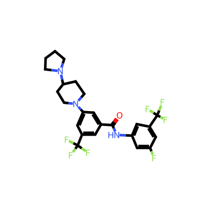 O=C(Nc1cc(F)cc(C(F)(F)F)c1)c1cc(N2CCC(N3CCCC3)CC2)cc(C(F)(F)F)c1